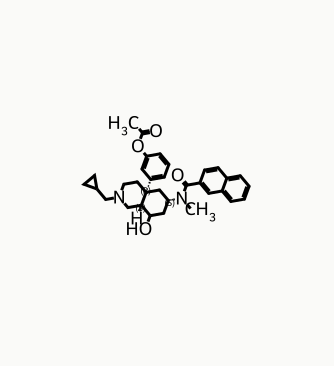 CC(=O)Oc1cccc([C@@]23CCN(CC4CC4)C[C@H]2C(O)C[C@@H](N(C)C(=O)c2ccc4ccccc4c2)C3)c1